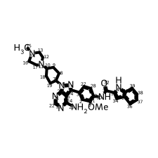 COc1cc(-c2nn(C3CCC(N4CCN(C)CC4)CC3)c3ncnc(N)c23)ccc1NC(=O)c1cc2ccccc2[nH]1